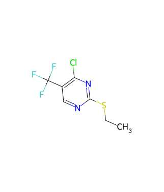 CCSc1ncc(C(F)(F)F)c(Cl)n1